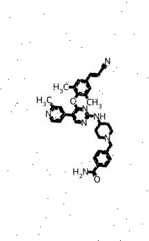 Cc1cc(-c2cnc(NC3CCN(Cc4ccc(C(N)=O)cc4)CC3)nc2Oc2c(C)cc(C=CC#N)cc2C)ccn1